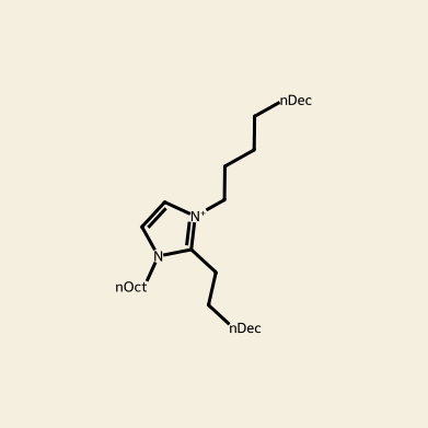 CCCCCCCCCCCCCC[n+]1ccn(CCCCCCCC)c1CCCCCCCCCCCC